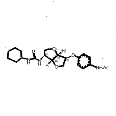 CC(=O)Nc1ccc(O[C@H]2CO[C@H]3[C@@H]2OC[C@@H]3NC(=O)NC2CCCCC2)cc1